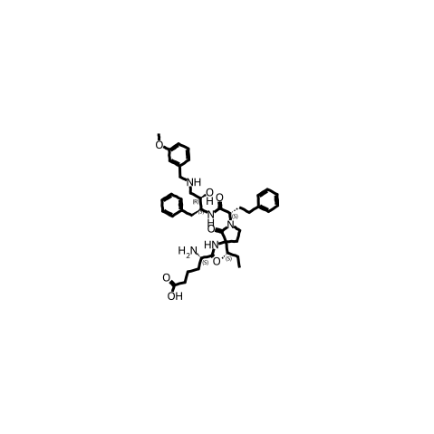 CC[C@H](C)C1(NC(=O)[C@@H](N)CCCC(=O)O)CCN([C@@H](CCc2ccccc2)C(=O)N[C@@H](Cc2ccccc2)[C@H](O)CNCc2cccc(OC)c2)C1=O